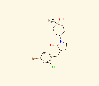 CC1(O)CCC(N2CCC(Cc3ccc(Br)cc3Cl)C2=O)CC1